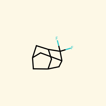 FC1(F)C2CC3CC(C2)CC1C3